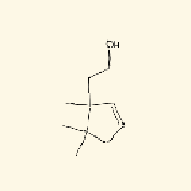 CC1(C)CC=CC1(C)CCO